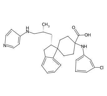 C[C@@H](CNc1ccncc1)C[C@H]1Cc2ccccc2C12CCC(Nc1cccc(Cl)c1)(C(=O)O)CC2